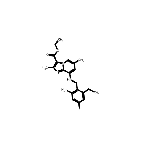 CCOC(=O)c1c(C)nc2c(NCc3c(C)cc(F)cc3CC)cc(C)cn12